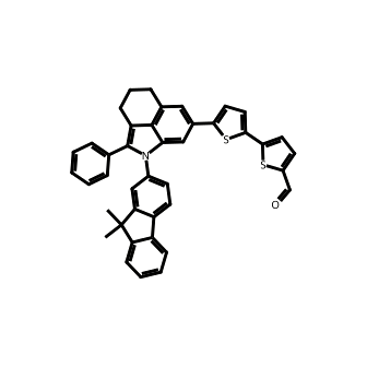 CC1(C)c2ccccc2-c2ccc(-n3c(-c4ccccc4)c4c5c(cc(-c6ccc(-c7ccc(C=O)s7)s6)cc53)CCC4)cc21